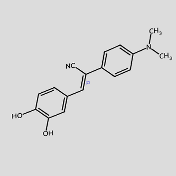 CN(C)c1ccc(/C(C#N)=C/c2ccc(O)c(O)c2)cc1